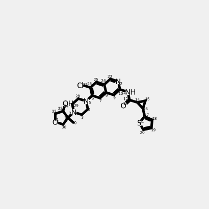 CC1(N2CCN(c3cc4cc(NC(=O)C5CC5c5cccs5)ncc4cc3Cl)CC2)COCC1O